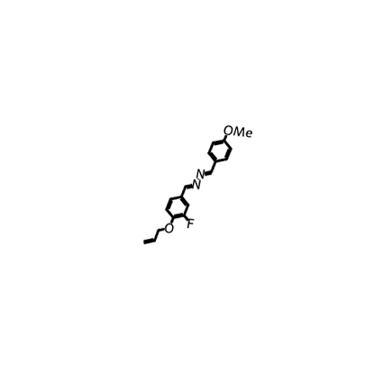 C=CCOc1ccc(C=NN=Cc2ccc(OC)cc2)cc1F